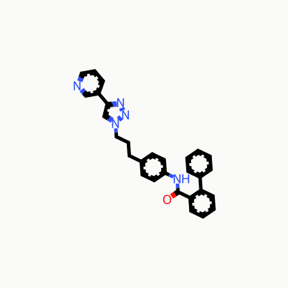 O=C(Nc1ccc(CCCn2cc(-c3cccnc3)nn2)cc1)c1ccccc1-c1ccccc1